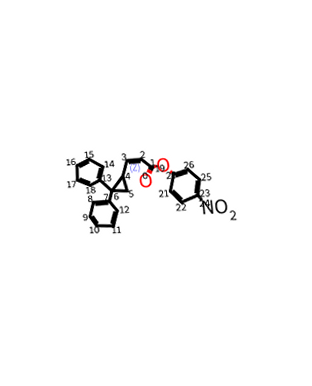 O=C(/C=C\C1CC1(c1ccccc1)c1ccccc1)Oc1ccc([N+](=O)[O-])cc1